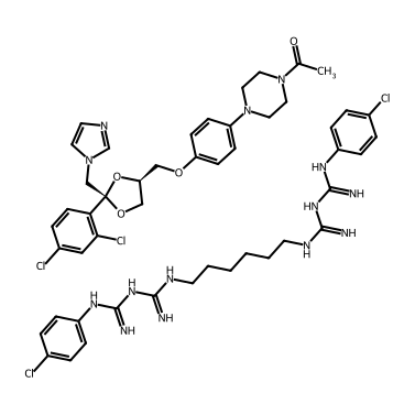 CC(=O)N1CCN(c2ccc(OC[C@H]3CO[C@](Cn4ccnc4)(c4ccc(Cl)cc4Cl)O3)cc2)CC1.N=C(NCCCCCCNC(=N)NC(=N)Nc1ccc(Cl)cc1)NC(=N)Nc1ccc(Cl)cc1